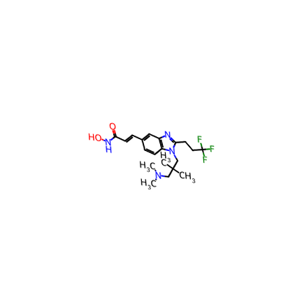 CN(C)CC(C)(C)Cn1c(CCC(F)(F)F)nc2cc(/C=C/C(=O)NO)ccc21